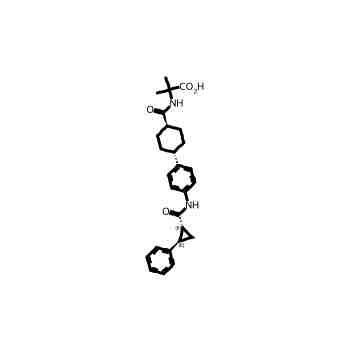 CC(C)(NC(=O)[C@H]1CC[C@H](c2ccc(NC(=O)[C@@H]3C[C@H]3c3ccccc3)cc2)CC1)C(=O)O